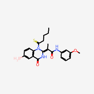 Bc1ccc2c(c1)C(=O)N/C(=C(/C)C(=O)Nc1cccc(OC)c1)N2C(=S)CCCC